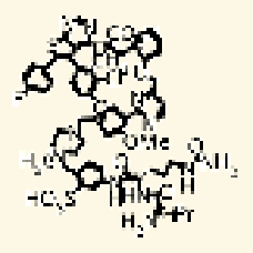 COc1ccccc1-c1nccc(COc2ccccc2C[C@@H](Oc2ncnc3sc(-c4ccc(F)cc4)c(-c4ccc(OCCN5CC[N+](C)(Cc6ccc(NC(=O)[C@H](CCCNC(N)=O)NC(=O)[C@@H](N)C(C)C)cc6S(=O)(=O)O)CC5)c(Cl)c4C)c23)C(=O)O)n1